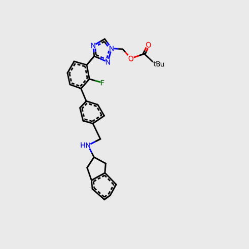 CC(C)(C)C(=O)OCn1cnc(-c2cccc(-c3ccc(CNC4Cc5ccccc5C4)cc3)c2F)n1